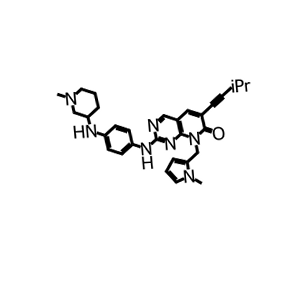 CC(C)C#Cc1cc2cnc(Nc3ccc(NC4CCCN(C)C4)cc3)nc2n(Cc2cccn2C)c1=O